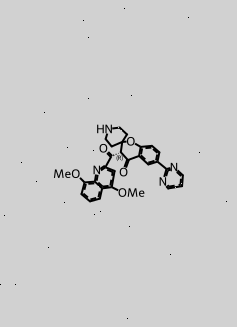 COc1cc(C(=O)[C@H]2C(=O)c3cc(-c4ncccn4)ccc3OC23CCNCC3)nc2c(OC)cccc12